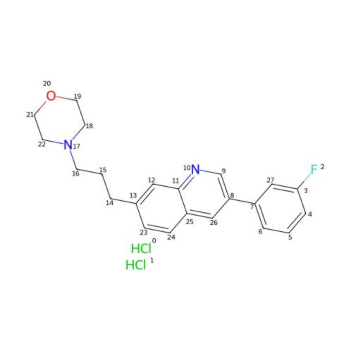 Cl.Cl.Fc1cccc(-c2cnc3cc(CCCN4CCOCC4)ccc3c2)c1